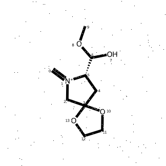 C=[N+]1CC2(C[C@H]1C(O)OC)OCCO2